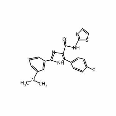 CN(C)c1cccc(-c2nc(C(=O)Nc3nccs3)c(-c3ccc(F)cc3)[nH]2)c1